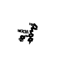 Cl.Cl.Fc1ccc([C@H]2CCN(CCCC3CSCCN3)C[C@@H]2COc2ccc3c(c2)OCO3)cc1